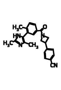 Cc1nc(C)c(-c2cc(C(=O)N3CC(c4ccc(C#N)cc4)C3)ccc2C)[nH]1